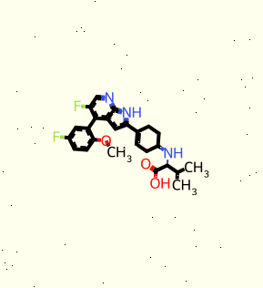 COc1ccc(F)cc1-c1c(F)cnc2[nH]c(C3=CCC(N[C@@H](C(=O)O)C(C)C)CC3)cc12